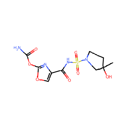 CC1(O)CCN(S(=O)(=O)NC(=O)c2coc(OC(N)=O)n2)C1